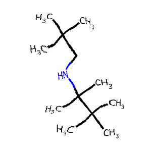 CC(C)(C)CNC(C)(C)C(C)(C)C